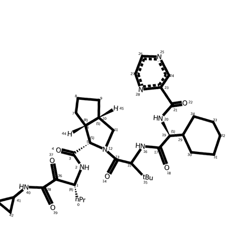 CCC[C@@H](NC(=O)[C@@H]1[C@@H]2CCC[C@@H]2CN1C(=O)C(NC(=O)[C@@H](NC(=O)c1cnccn1)C1CCCCC1)C(C)(C)C)C(=O)C(=O)NC1CC1